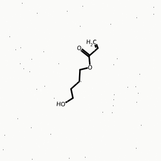 C=CC(=O)OC[CH]CCO